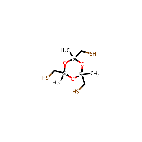 C[Si]1(CS)O[Si](C)(CS)O[Si](C)(CS)O1